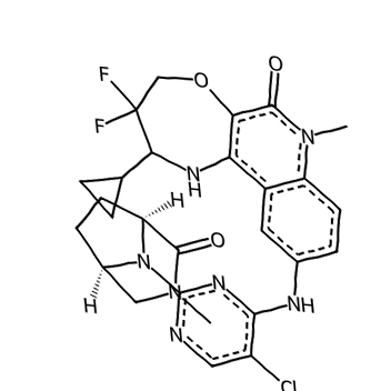 CN1C[C@H]2CC[C@@H](C1=O)N2c1ncc(Cl)c(Nc2ccc3c(c2)c2c(c(=O)n3C)OCC(F)(F)C(C3CC3)N2)n1